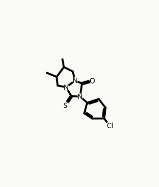 CC1Cn2c(=O)n(-c3ccc(Cl)cc3)c(=S)n2CC1C